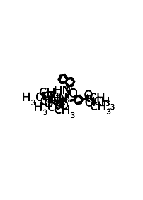 CC(C)[C@H](NC(=O)OC(C)(C)C)C(=O)N[C@@H](Cc1ccc(C(=O)OC(C)(C)C)cc1)C(=O)N[C@@H]1CCCc2ccccc21